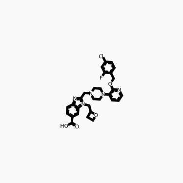 O=C(O)c1ccc2nc(CN3CCN(c4cccnc4OCc4ccc(Cl)cc4F)CC3)n(CC3CCO3)c2c1